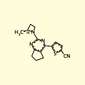 C[C@H]1CCN1c1nc2c(c(-c3ccc(C#N)s3)n1)CCC2